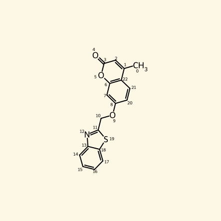 Cc1cc(=O)oc2cc(OCc3nc4ccccc4s3)ccc12